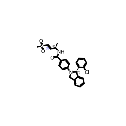 C[C@H](/C=C/S(C)(=O)=O)NC(=O)c1ccc(N2Cc3ccccc3[C@H]2c2ccccc2Cl)cc1